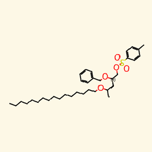 CCCCCCCCCCCCCCCCOC(C)C[C@H](COS(=O)(=O)c1ccc(C)cc1)OCc1ccccc1